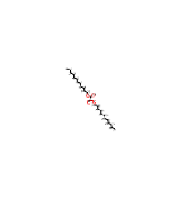 CCCCCCCCCCCCOC(=O)C(=O)OCCCCCCCCCCCC